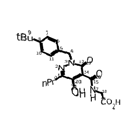 CCCc1nn(Cc2ccc(C(C)(C)C)cc2)c(=O)c(C(=O)NCC(=O)O)c1O